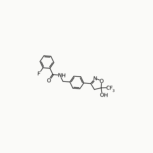 O=C(NCc1ccc(C2=NOC(O)(C(F)(F)F)C2)cc1)c1ccccc1F